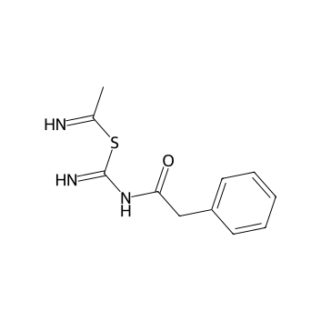 CC(=N)SC(=N)NC(=O)Cc1ccccc1